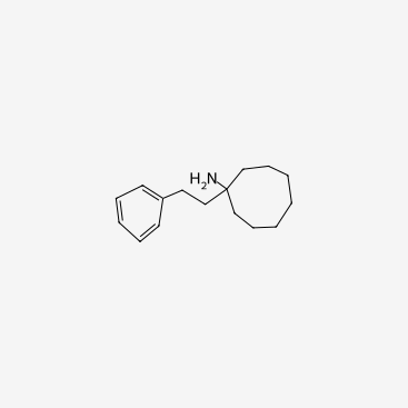 NC1(CCc2ccccc2)CCCCCCC1